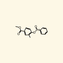 COC(=O)c1ccc(O[PH](=O)c2ccccc2)c(C)c1